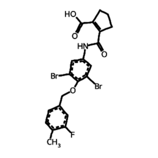 Cc1ccc(COc2c(Br)cc(NC(=O)C3=C(C(=O)O)CCC3)cc2Br)cc1F